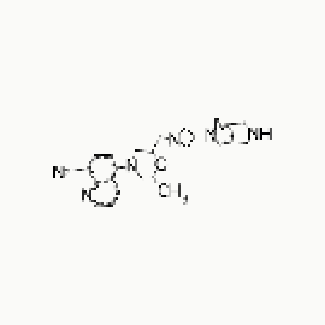 CC1CN(c2ccc(C#N)c3ncccc23)CC(CN2CC(n3cc4c(n3)CNC4)C2)O1